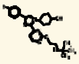 CC(C)(C)NCCOc1nccc(-c2nc(-c3ccc(F)cc3)cn2C2CCC(O)CC2)n1